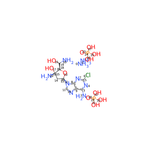 N.N.Nc1nc(Cl)nc2c1ncn2[C@H]1C[C@](N)(O)[C@@H](C(N)O)O1.O=P(O)(O)O.O=P(O)(O)O